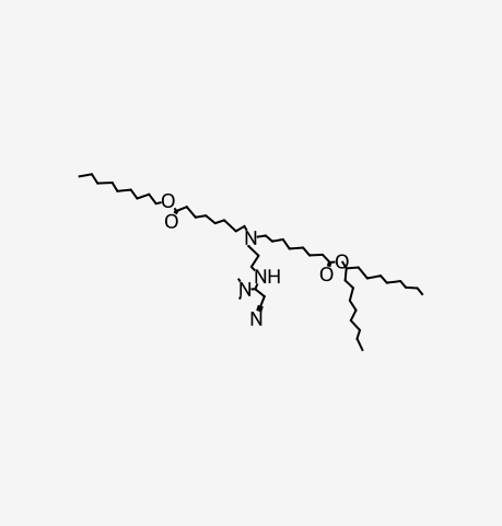 CCCCCCCCCOC(=O)CCCCCCCN(CCCCCCCC(=O)OC(CCCCCCCC)CCCCCCCC)CCCNC(CC#N)N(C)C